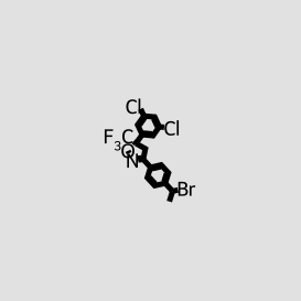 CC(Br)c1ccc(C2=NOC(c3cc(Cl)cc(Cl)c3)(C(F)(F)F)C2)cc1